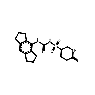 O=C1CCC(S(=O)(=O)NC(=O)Nc2c3c(cc4c2CCC4)CCC3)CN1